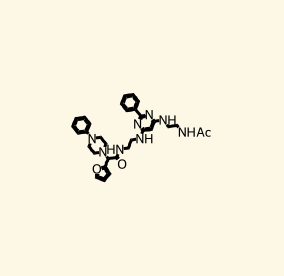 CC(=O)NCCNc1cc(NCCNC(=O)C(c2ccco2)N2CCN(c3ccccc3)CC2)nc(-c2ccccc2)n1